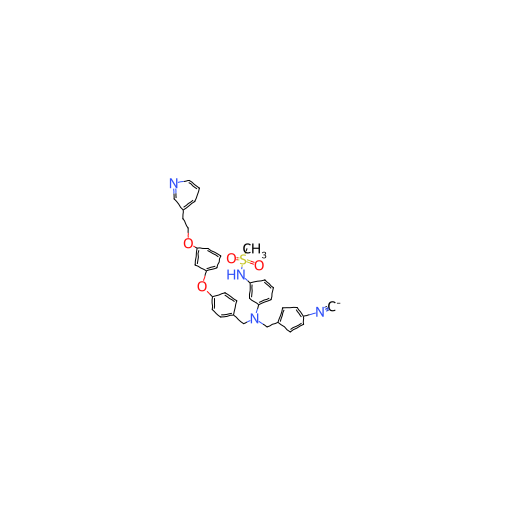 [C-]#[N+]c1ccc(CN(Cc2ccc(Oc3cccc(OCCc4cccnc4)c3)cc2)c2cccc(NS(C)(=O)=O)c2)cc1